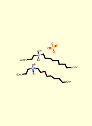 CCCCCCCCCCCCCCCCCC[N+](CC)(CCC)CCCCCCCCCCCC.CCCCCCCCCCCCCCCCCC[N+](CC)(CCC)CCCCCCCCCCCC.O=S(=O)([O-])[O-]